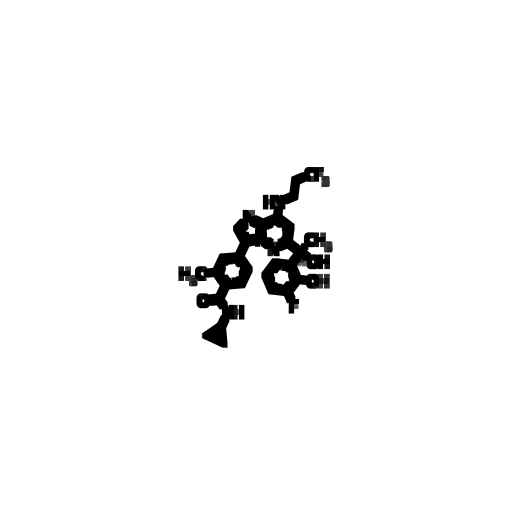 Cc1cc(-c2cnc3c(NCCC(F)(F)F)cc([C@](C)(O)c4cccc(F)c4O)nn23)ccc1C(=O)NC1CC1